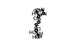 Cc1c(COc2cc(O)c(CN[C@@](C)(CO)C(=O)O)cc2Cl)cccc1-c1cccc(COc2cc(OCc3cncc(C#N)c3)c(CN[C@@](C)(CO)C(=O)O)cc2Cl)c1C